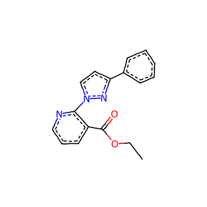 CCOC(=O)c1cccnc1-n1ccc(-c2ccccc2)n1